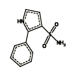 NS(=O)(=O)c1cc[nH]c1-c1ccccc1